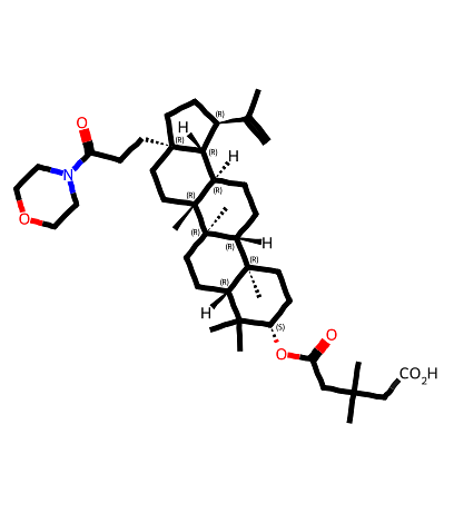 C=C(C)[C@@H]1CC[C@]2(CCC(=O)N3CCOCC3)CC[C@]3(C)[C@H](CC[C@@H]4[C@@]5(C)CC[C@H](OC(=O)CC(C)(C)CC(=O)O)C(C)(C)[C@@H]5CC[C@]43C)[C@@H]12